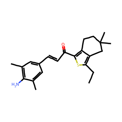 CCc1sc(C(=O)/C=C/c2cc(C)c(N)c(C)c2)c2c1CC(C)(C)CC2